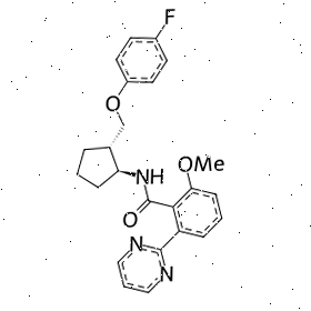 COc1cccc(-c2ncccn2)c1C(=O)N[C@H]1CCC[C@@H]1COc1ccc(F)cc1